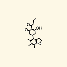 CCCC(=O)C1=C(O)CC(c2c(C)c(C)c(C)c3c2CCO3)CC1=O